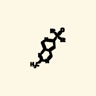 CCP(=O)(CC)c1cc2cnc(C)nc2cn1